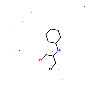 O=NCC(CO)NC1CCCCC1